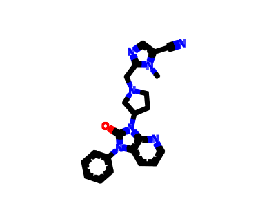 Cn1c(C#N)cnc1CN1CCC(n2c(=O)n(-c3ccccc3)c3cccnc32)C1